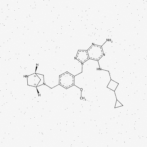 COc1cc(CN2C[C@@H]3C[C@H]2CN3)ccc1Cn1ncc2nc(N)nc(NCC3CC(C4CC4)C3)c21